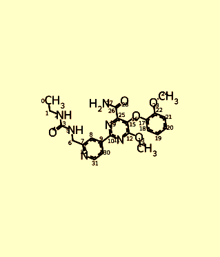 CCNC(=O)NCc1cc(-c2nc(OC)c(Oc3ccccc3OC)c(C(N)=O)n2)ccn1